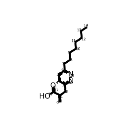 C=C(Cc1ccc(CCCCCCCC)nn1)C(=O)O